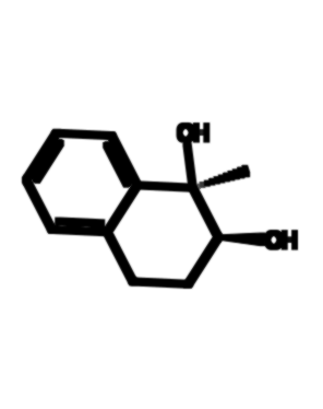 C[C@@]1(O)c2ccccc2CC[C@@H]1O